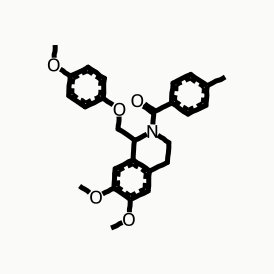 COc1ccc(OCC2c3cc(OC)c(OC)cc3CCN2C(=O)c2ccc(C)cc2)cc1